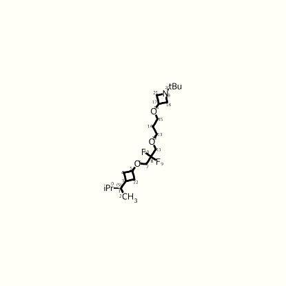 CC(C)[C@H](C)C1CC(OCC(F)(F)COCCCOC2CN(C(C)(C)C)C2)C1